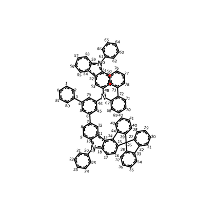 c1ccc(-c2cc(-c3ccc4c(c3)c3c5c(ccc3n4-c3ccccc3)C3(c4ccccc4-c4ccccc43)c3ccccc3-5)cc(N(c3ccc4c(c3)c3ccccc3n4-c3ccccc3)c3ccccc3-c3ccccc3)c2)cc1